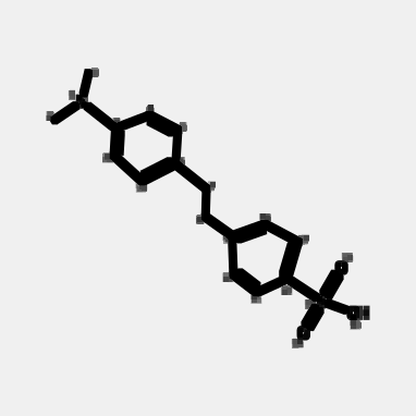 CN(C)c1ccc(CCc2ccc(S(=O)(=O)O)cc2)cc1